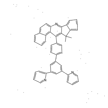 CC1(C)c2ccccc2-c2nc3ccc4ccccc4c3c(-c3ccc(-c4cc(-c5ccccn5)cc(-c5ccccn5)c4)cc3)c21